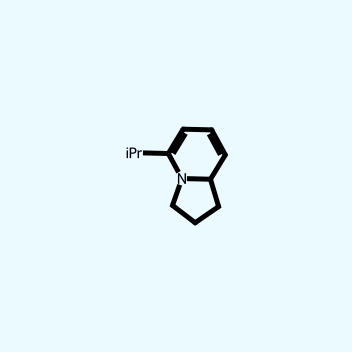 CC(C)C1=CC=CC2CCCN12